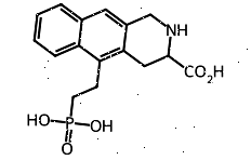 O=C(O)C1Cc2c(cc3ccccc3c2CCP(=O)(O)O)CN1